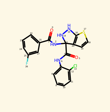 O=C(NC1(C(=O)Nc2ccccc2Cl)NNc2sccc21)c1cccc(F)c1